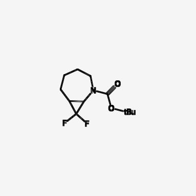 CC(C)(C)OC(=O)N1CCCCC2C1C2(F)F